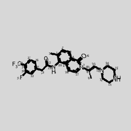 Cc1ccc2c(=O)n([C@H](C)CN3CCNCC3)ccc2c1NC(=O)Cc1ccc(C(F)(F)F)c(F)c1